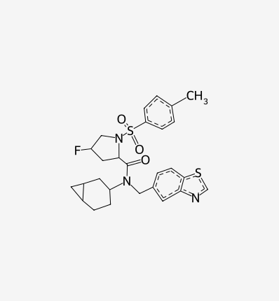 Cc1ccc(S(=O)(=O)N2CC(F)CC2C(=O)N(Cc2ccc3scnc3c2)C2CCC3CC3C2)cc1